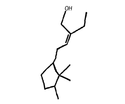 CCC(=CCC1CCC(C)C1(C)C)CO